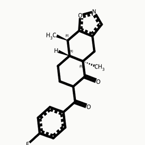 C[C@H]1c2oncc2C[C@@]2(C)C(=O)C(C(=O)c3ccc(F)cc3)CC[C@H]12